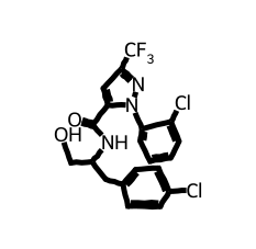 O=C(NC(CO)Cc1ccc(Cl)cc1)c1cc(C(F)(F)F)nn1-c1ccccc1Cl